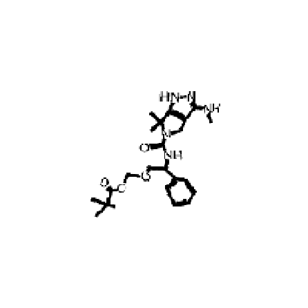 CNc1n[nH]c2c1CN(C(=O)NC(COCOC(=O)C(C)(C)C)c1ccccc1)C2(C)C